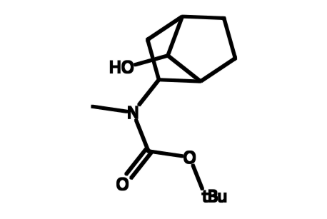 CN(C(=O)OC(C)(C)C)C1CC2CCC1C2O